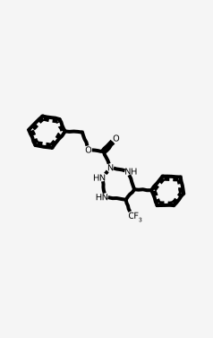 O=C(OCc1ccccc1)N1NNC(C(F)(F)F)C(c2ccccc2)N1